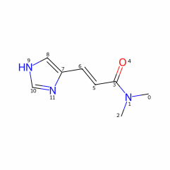 CN(C)C(=O)/C=C/c1c[nH]cn1